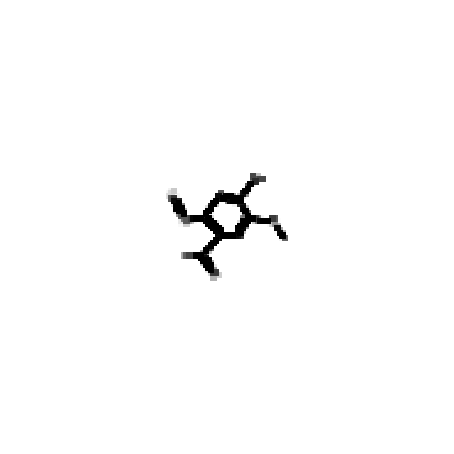 COc1cc(C(C)=O)c(N=O)cc1O